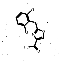 O=C(O)c1coc(Cc2c(Cl)cccc2Cl)n1